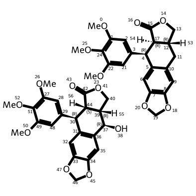 COc1cc([C@@H]2c3cc4c(cc3C[C@H]3COC(=O)[C@@H]32)OCO4)cc(OC)c1OC.COc1cc([C@@H]2c3cc4c(cc3[C@H](O)[C@H]3COC(=O)[C@@H]23)OCO4)cc(OC)c1OC